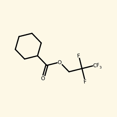 O=C(OCC(F)(F)C(F)(F)F)C1CCCCC1